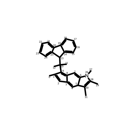 CC1=CC2=CC3C(=CC2=C1C(C)(C)C1c2ccccc2-c2ccccc21)N(C)C(C)=C3C